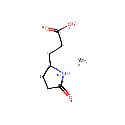 O=C(O)CCC1CCC(=O)N1.[NaH]